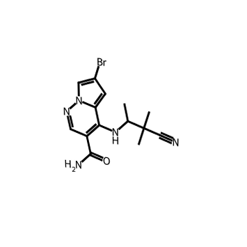 CC(Nc1c(C(N)=O)cnn2cc(Br)cc12)C(C)(C)C#N